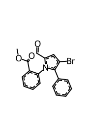 COC(=O)c1ccccc1-n1c(C=O)cc(Br)c1-c1ccccc1